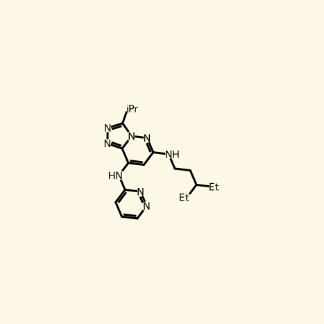 CCC(CC)CCNc1cc(Nc2cccnn2)c2nnc(C(C)C)n2n1